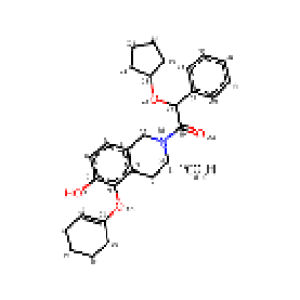 O=C(O)[C@@H]1Cc2c(ccc(O)c2OC2=CCCCC2)CN1C(=O)C(OC1CCCC1)c1ccccc1